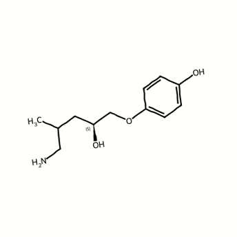 CC(CN)C[C@H](O)COc1ccc(O)cc1